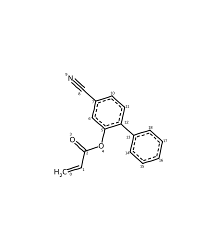 C=CC(=O)Oc1cc(C#N)ccc1-c1ccccc1